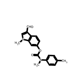 Cc1ccc(N(C)C(=O)Oc2ccc3c(C=O)cn(C)c3c2)cc1